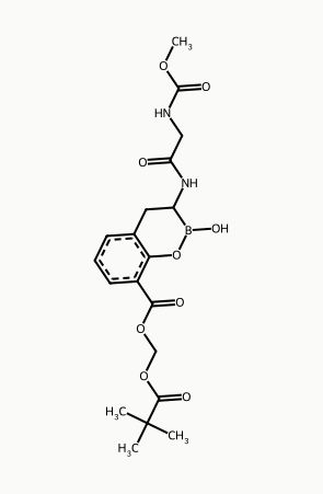 COC(=O)NCC(=O)NC1Cc2cccc(C(=O)OCOC(=O)C(C)(C)C)c2OB1O